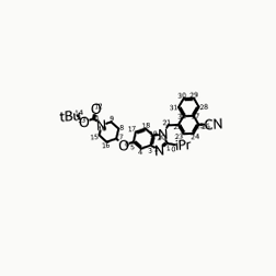 CC(C)c1nc2cc(OC3CCN(C(=O)OC(C)(C)C)CC3)ccc2n1Cc1ccc(C#N)c2ccccc12